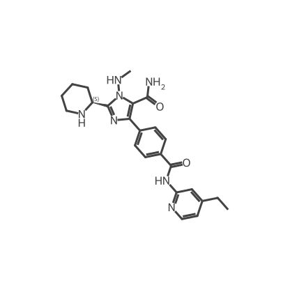 CCc1ccnc(NC(=O)c2ccc(-c3nc([C@@H]4CCCCN4)n(NC)c3C(N)=O)cc2)c1